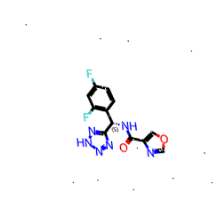 O=C(N[C@H](c1nn[nH]n1)c1ccc(F)cc1F)c1cocn1